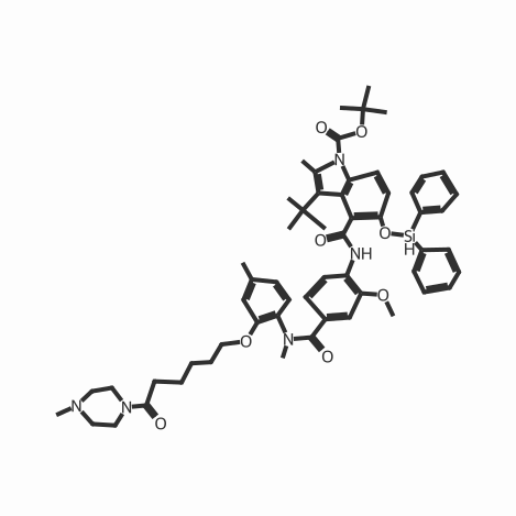 COc1cc(C(=O)N(C)c2ccc(C)cc2OCCCCCC(=O)N2CCN(C)CC2)ccc1NC(=O)c1c(O[SiH](c2ccccc2)c2ccccc2)ccc2c1c(C(C)(C)C)c(C)n2C(=O)OC(C)(C)C